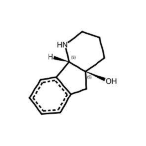 O[C@]12CCCN[C@H]1c1ccccc1C2